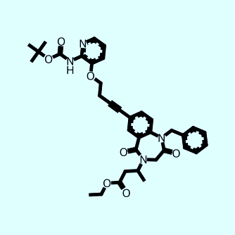 CCOC(=O)CC(C)N1CC(=O)N(Cc2ccccc2)c2ccc(C#CCCOc3cccnc3NC(=O)OC(C)(C)C)cc2C1=O